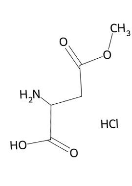 COC(=O)CC(N)C(=O)O.Cl